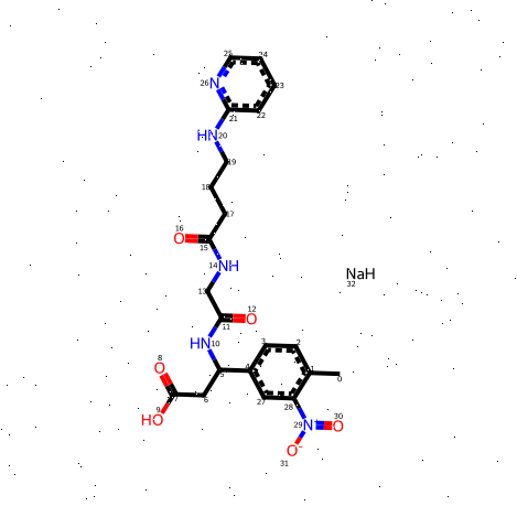 Cc1ccc(C(CC(=O)O)NC(=O)CNC(=O)CCCNc2ccccn2)cc1[N+](=O)[O-].[NaH]